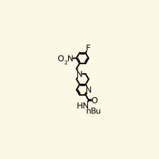 CCCCNC(=O)c1ccc2c(n1)CCN(Cc1ccc(F)cc1[N+](=O)[O-])C2